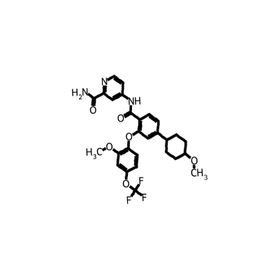 COc1cc(OC(F)(F)F)ccc1Oc1cc(C2CCC(OC)CC2)ccc1C(=O)Nc1ccnc(C(N)=O)c1